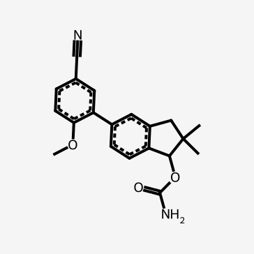 COc1ccc(C#N)cc1-c1ccc2c(c1)CC(C)(C)C2OC(N)=O